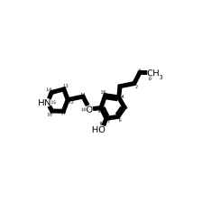 CCCCc1ccc(O)c(OCC2CCNCC2)c1